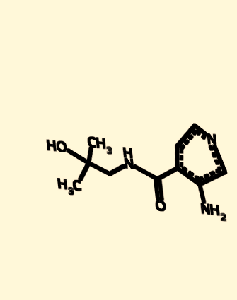 CC(C)(O)CNC(=O)c1ccncc1N